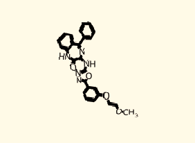 COCCOc1cccc(-c2nnc(NC3N=C(c4ccccc4)c4ccccc4NC3=O)o2)c1